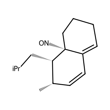 CC(C)C[C@H]1[C@@H](C)C=CC2=CCCC[C@@]21N=O